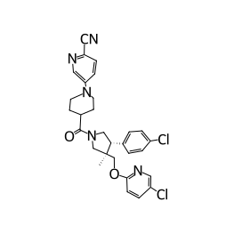 C[C@]1(COc2ccc(Cl)cn2)CN(C(=O)C2CCN(c3ccc(C#N)nc3)CC2)C[C@@H]1c1ccc(Cl)cc1